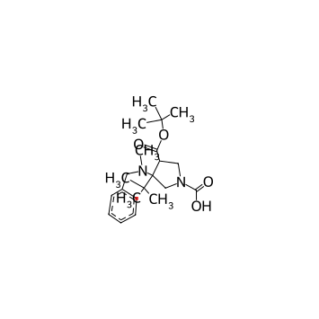 CN(Cc1ccccc1)C1(C(C)(C)C)CN(C(=O)O)CC1C(=O)OC(C)(C)C